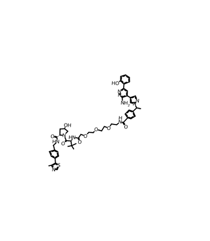 Cc1ncsc1-c1ccc(CNC(=O)[C@@H]2C[C@@H](O)CN2C(=O)[C@@H](NC(=O)COCCOCCOCCNC(=O)c2ccc(C(C)n3cc(-c4cc(-c5ccccc5O)nnc4N)cn3)cc2)C(C)(C)C)cc1